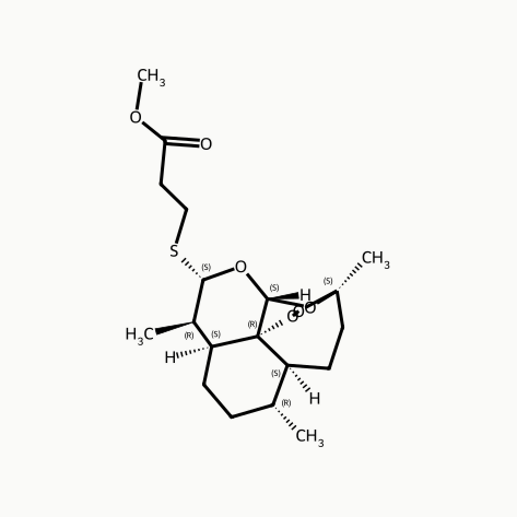 COC(=O)CCS[C@@H]1O[C@@H]2O[C@]3(C)CC[C@H]4[C@H](C)CC[C@@H]([C@H]1C)[C@@]24OO3